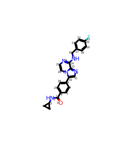 O=C(NC1CC1)c1ccc(-c2cnc3c(NCc4ccc(F)cc4)nccn23)cc1